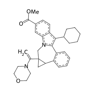 C=C(N1CCOCC1)C12CC1c1ccccc1-c1c(C3CCCCC3)c3ccc(C(=O)OC)cc3n1C2